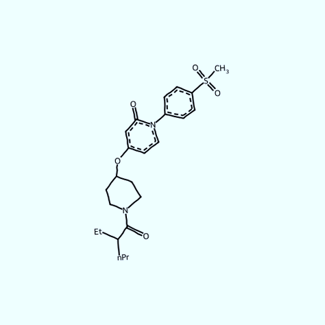 CCCC(CC)C(=O)N1CCC(Oc2ccn(-c3ccc(S(C)(=O)=O)cc3)c(=O)c2)CC1